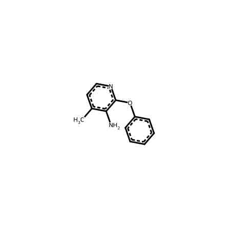 Cc1ccnc(Oc2ccccc2)c1N